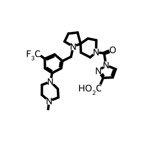 CN1CCN(c2cc(CN3CCCC34CCN(C(=O)n3ccc(C(=O)O)n3)CC4)cc(C(F)(F)F)c2)CC1